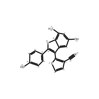 Cc1cc(O)cc2c(-c3sccc3C#N)c(-c3ccc(O)cc3)oc12